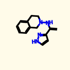 C=C(NN1CCc2ccccc2C1)c1cc[nH]n1